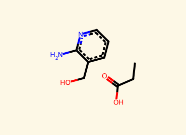 CCC(=O)O.Nc1ncccc1CO